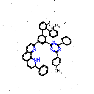 Cc1ccccc1-c1c(C)cccc1-c1cc(-c2ccc3ccc4c(c3n2)NC(c2ccccc2)C=C4)cc(-c2nc(C3=CCC(C)C=C3)nc(-c3ccccc3)n2)c1